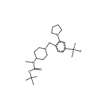 CN(C(=O)OC(C)(C)C)C1CCN(Cc2ccc(C(F)(F)F)cc2N2CCCC2)CC1